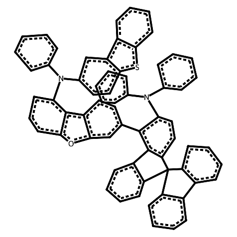 c1ccc(N(c2ccccc2)c2ccc3c(c2-c2ccc4c(c2)oc2cccc(N(c5ccccc5)c5ccc6sc7ccccc7c6c5)c24)-c2ccccc2C32c3ccccc3-c3ccccc32)cc1